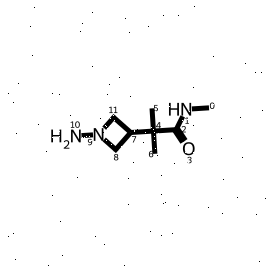 CNC(=O)C(C)(C)C1CN(N)C1